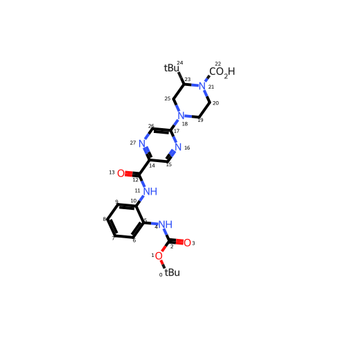 CC(C)(C)OC(=O)Nc1ccccc1NC(=O)c1cnc(N2CCN(C(=O)O)C(C(C)(C)C)C2)cn1